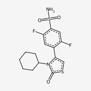 NS(=O)(=O)c1cc(F)c(-c2csc(=O)n2C2CCCCC2)cc1F